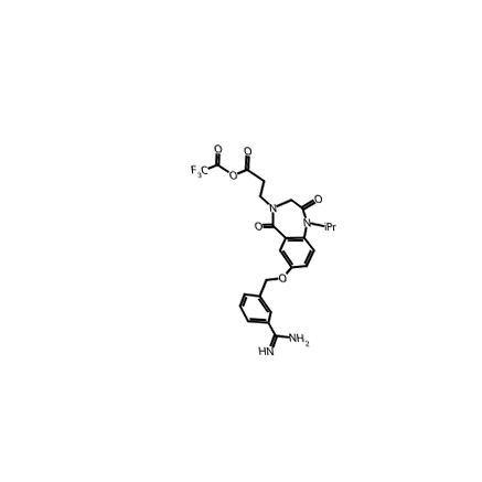 CC(C)N1C(=O)CN(CCC(=O)OC(=O)C(F)(F)F)C(=O)c2cc(OCc3cccc(C(=N)N)c3)ccc21